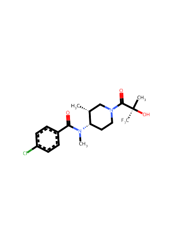 C[C@@H]1CN(C(=O)[C@@](C)(O)C(F)(F)F)CC[C@@H]1N(C)C(=O)c1ccc(Cl)cc1